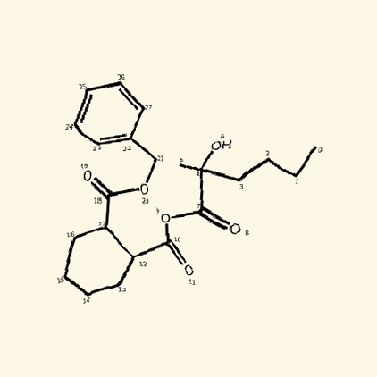 CCCCC(C)(O)C(=O)OC(=O)C1CCCCC1C(=O)OCc1ccccc1